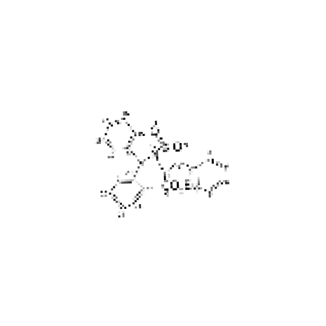 CCOC(=O)C1C(c2ccccc2)OC(=O)N1C(c1ccccc1)c1ccccc1